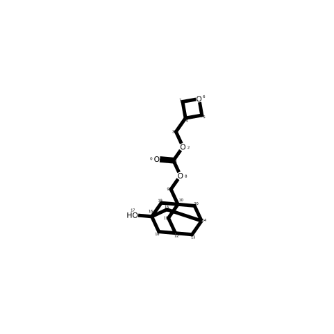 O=C(OCC1COC1)OCC12CC3CC(CC(O)(C3)C1)C2